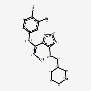 O/N=C(/Nc1ccc(F)c(Br)c1)c1nonc1SCC1CCCNC1